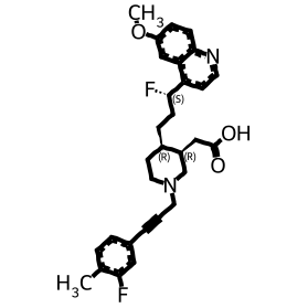 COc1ccc2nccc([C@@H](F)CC[C@@H]3CCN(CC#Cc4ccc(C)c(F)c4)C[C@@H]3CC(=O)O)c2c1